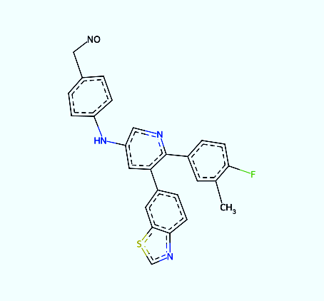 Cc1cc(-c2ncc(Nc3ccc(CN=O)cc3)cc2-c2ccc3ncsc3c2)ccc1F